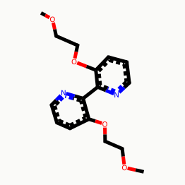 COCCOc1cccnc1-c1ncccc1OCCOC